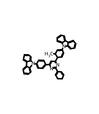 CC1C=C(n2c3ccccc3c3ccccc32)C=CC1c1cc(-c2ccc(-n3c4ccccc4c4ccccc43)cc2)nc(C2=CCCC=C2)n1